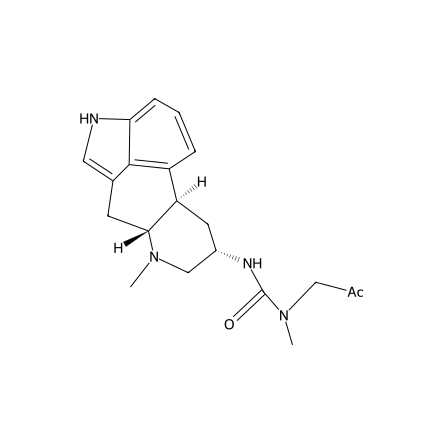 CC(=O)CN(C)C(=O)N[C@H]1C[C@@H]2c3cccc4[nH]cc(c34)C[C@H]2N(C)C1